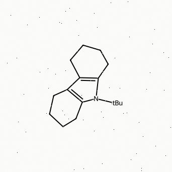 CC(C)(C)n1c2c(c3c1CCCC3)CCCC2